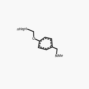 CCCCCCCCOc1ccc(CNC)cc1